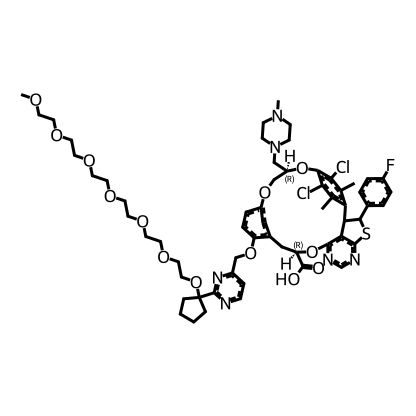 COCCOCCOCCOCCOCCOCCOC1(c2nccc(COc3ccc4cc3C[C@H](C(=O)O)Oc3ncnc5c3C(c3c(C)c(Cl)c(c(Cl)c3C)O[C@H](CN3CCN(C)CC3)CO4)C(c3ccc(F)cc3)S5)n2)CCCC1